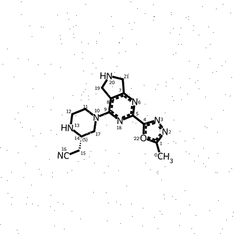 Cc1nnc(-c2nc3c(c(N4CCN[C@@H](CC#N)C4)n2)CNC3)o1